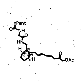 CCCCCC(=O)NCC(=O)NC[C@H]1[C@@H](CC=CCCCC(=O)COC(C)=O)[C@H]2CC[C@@H]1O2